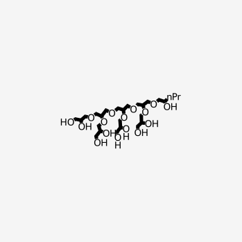 CCCC(O)COCC(COCC(COCC(COCC(O)CO)OCC(O)CO)OCC(O)CO)OCC(O)CO